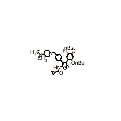 CCCCOc1cc(OCCCC)c(C(C)C)cc1-c1noc(NC(=O)C2CC2)c1-c1ccc(CN2CCC(N(C)C)CC2)cc1